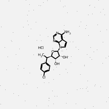 CC(c1ccc(Cl)cc1)[C@H]1O[C@@H](n2ccc3c(N)ncnc32)[C@H](O)[C@@H]1O.Cl